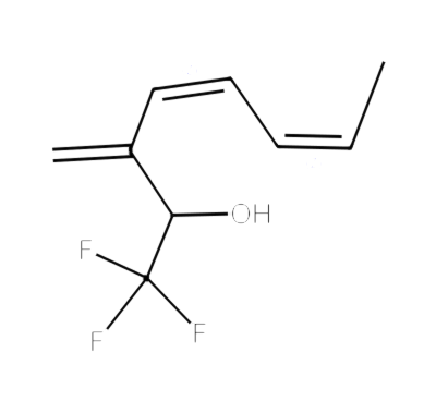 C=C(/C=C\C=C/C)C(O)C(F)(F)F